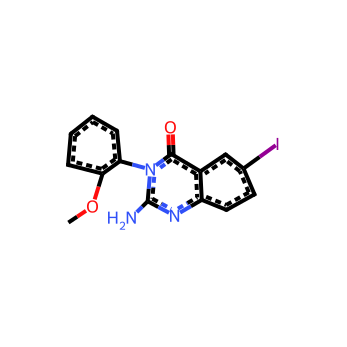 COc1ccccc1-n1c(N)nc2ccc(I)cc2c1=O